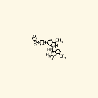 Cc1c([C@@H](C)Nc2nnc(C)c3ccc(N4CCN(C(=O)[C@@H]5CCOC5)CC4)cc23)cccc1C(F)(F)F